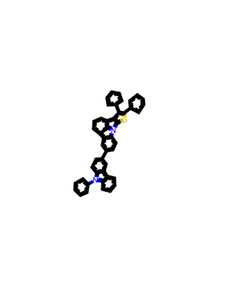 c1ccc(-c2sc3c(c2-c2ccccc2)c2cccc4c5cc(-c6ccc7c(c6)c6ccccc6n7-c6ccccc6)ccc5n3c42)cc1